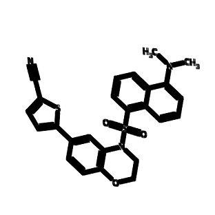 CN(C)c1cccc2c(S(=O)(=O)N3CCOc4ccc(-c5ccc(C#N)s5)cc43)cccc12